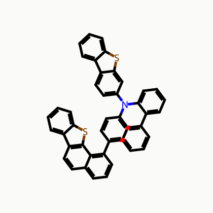 c1ccc(-c2ccccc2N(c2ccc(-c3cccc4ccc5c6ccccc6sc5c34)cc2)c2ccc3c(c2)sc2ccccc23)cc1